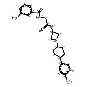 Cc1cccc(C(=O)NCC(=O)NC2CN(C3CCC(c4ccc(N)nc4)CC3)C2)c1